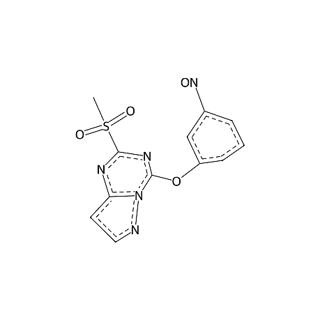 CS(=O)(=O)c1nc(Oc2cccc(N=O)c2)n2nccc2n1